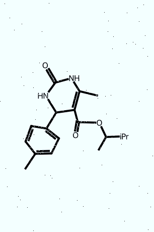 CC1=C(C(=O)OC(C)C(C)C)C(c2ccc(C)cc2)NC(=O)N1